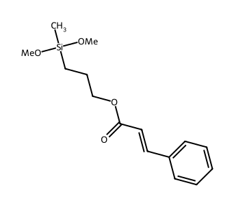 CO[Si](C)(CCCOC(=O)/C=C/c1ccccc1)OC